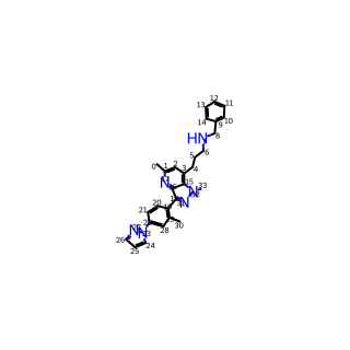 Cc1cc(CCCNCc2ccccc2)c2c(n1)c(-c1ccc(-n3cccn3)cc1C)nn2C